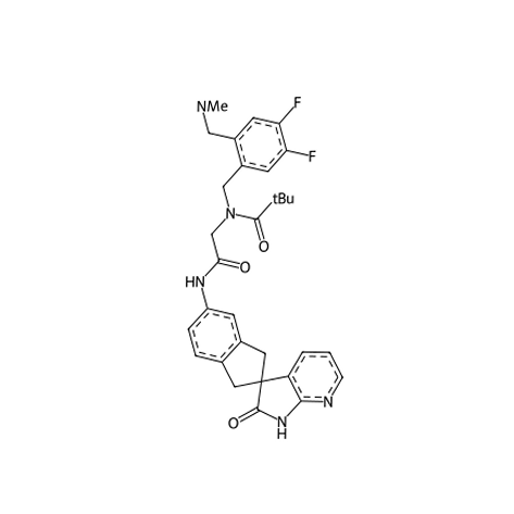 CNCc1cc(F)c(F)cc1CN(CC(=O)Nc1ccc2c(c1)CC1(C2)C(=O)Nc2ncccc21)C(=O)C(C)(C)C